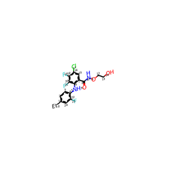 CCc1ccc(Nc2c(C(=O)NOCCO)cc(Cl)c(F)c2F)c(F)c1